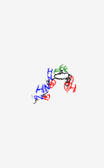 CCCCNC(=O)CCNC(=O)[C@H](C)NC(=O)c1cc2c(c(C(F)(F)F)c1)COB2O